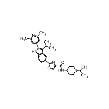 Cc1cc(-c2[nH]c3ccc(-c4nc(C(=O)NC5CCN(C(C)C)CC5)co4)cc3c2C(C)C)cc(C)n1